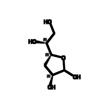 OC[C@@H](O)[C@H]1C[C@@H](O)C(O)O1